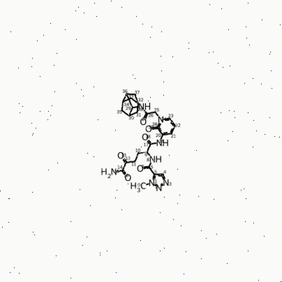 Cn1nncc1C(=O)N[C@@H](CCC(=O)C(N)=O)C(=O)Nc1cccn(CC(=O)NC2C3CC4CC(C3)C2C4)c1=O